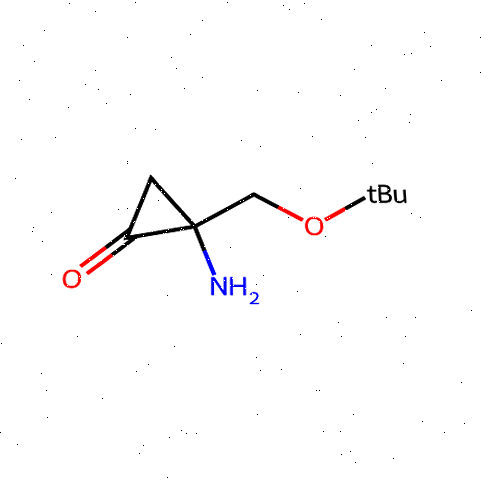 CC(C)(C)OCC1(N)CC1=O